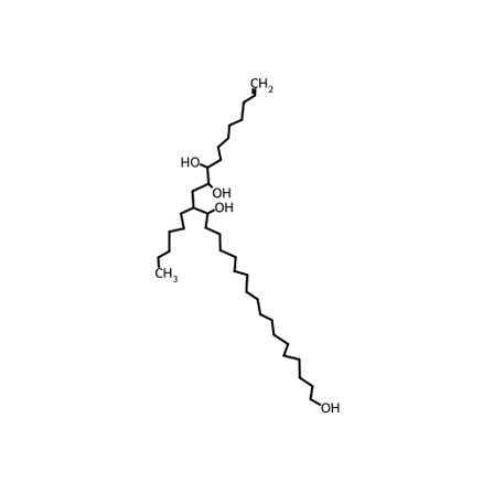 C=CCCCCCCC(O)C(O)CC(CCCCCC)C(O)CCCCCCCCCCCCCCCCCO